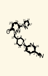 N#Cc1ccc(N2CCC(Cn3nc(-n4cccn4)ccc3=O)CC2)nc1